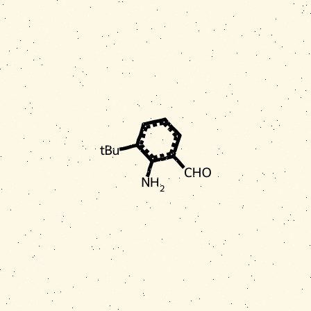 CC(C)(C)c1cccc(C=O)c1N